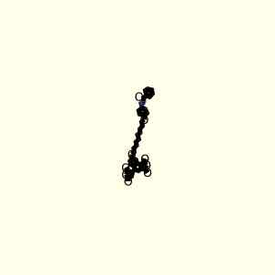 O=C1CC(C2CC3C(=O)OC(=O)C3c3cc(OCCCCCCCCCCOc4ccc(/C=C/C(=O)c5ccccc5)cc4)ccc32)C(=O)O1